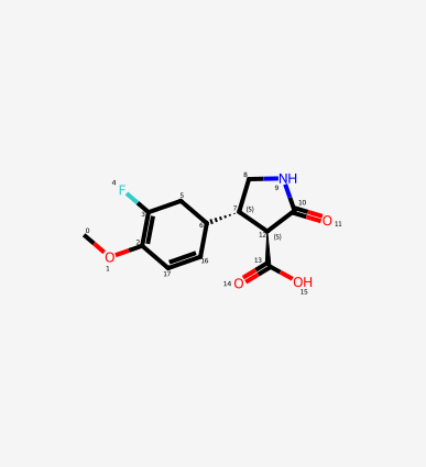 COC1=C(F)CC([C@@H]2CNC(=O)[C@H]2C(=O)O)C=C1